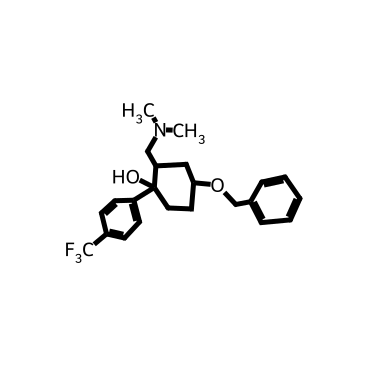 CN(C)CC1CC(OCc2ccccc2)CCC1(O)c1ccc(C(F)(F)F)cc1